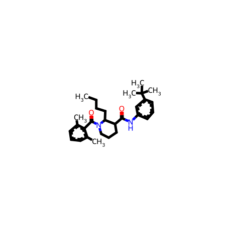 CCCCC1C(C(=O)Nc2cccc(C(C)(C)C)c2)CCCN1C(=O)c1c(C)cccc1C